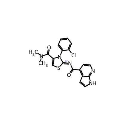 CN(C)C(=O)c1cs/c(=N\C(=O)c2ccnc3[nH]ccc23)n1-c1ccccc1Cl